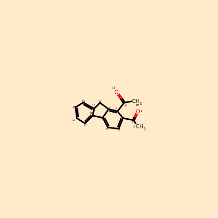 CC(=O)c1ccc2c(c1C(C)=O)Cc1ccccc1-2